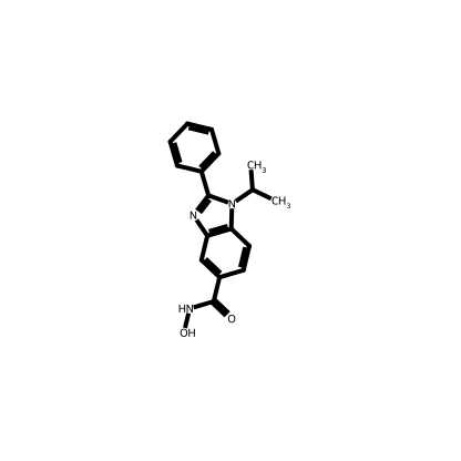 CC(C)n1c(-c2ccccc2)nc2cc(C(=O)NO)ccc21